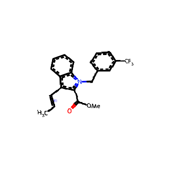 C/C=C/c1c(C(=O)OC)n(Cc2cccc(C(F)(F)F)c2)c2ccccc12